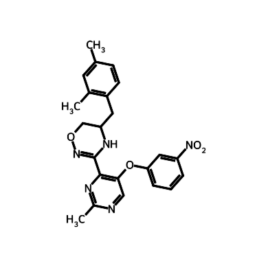 Cc1ccc(CC2CON=C(c3nc(C)ncc3Oc3cccc([N+](=O)[O-])c3)N2)c(C)c1